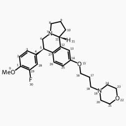 COc1ccc([C@H]2CN3CCC[C@@H]3c3cc(OCCCN4CCOCC4)ccc32)cc1F